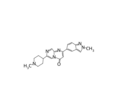 CN1CCC(c2cn3c(=O)cc(-c4ccc5nn(C)cc5c4)nc3cn2)CC1